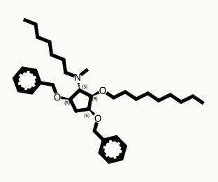 CCCCCCCCCO[C@@H]1[C@@H](N(C)CCCCCCC)[C@H](OCc2ccccc2)C[C@@H]1OCc1ccccc1